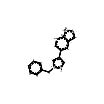 c1ccc(Cn2cc(-c3cnc4[nH]ncc4c3)cn2)cc1